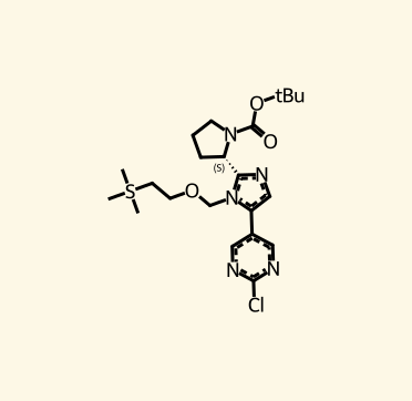 CC(C)(C)OC(=O)N1CCC[C@H]1c1ncc(-c2cnc(Cl)nc2)n1COCCS(C)(C)C